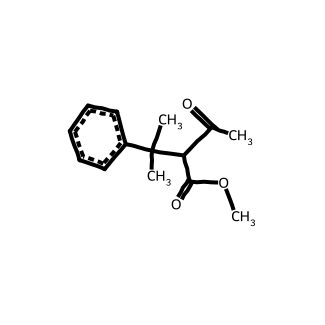 COC(=O)C(C(C)=O)C(C)(C)c1ccccc1